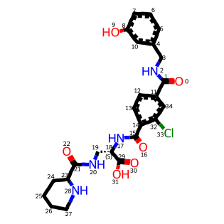 O=C(NCc1cccc(O)c1)c1ccc(C(=O)N[C@@H](CNC(=O)C2CCCCN2)C(=O)O)c(Cl)c1